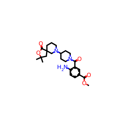 COC(=O)c1ccc(N)c(C(=O)N2CCC(N3CCCC4(C3)CC(C)(C)OC4=O)CC2)c1